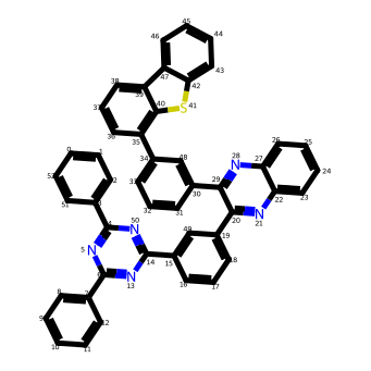 c1ccc(-c2nc(-c3ccccc3)nc(-c3cccc(-c4nc5ccccc5nc4-c4cccc(-c5cccc6c5sc5ccccc56)c4)c3)n2)cc1